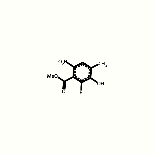 COC(=O)c1c([N+](=O)[O-])cc(C)c(O)c1F